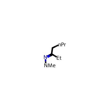 CCCC/C(CC)=N/NC